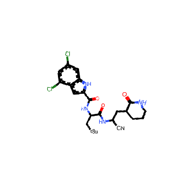 CC(C)(C)CC(NC(=O)c1cc2c(Cl)cc(Cl)cc2[nH]1)C(=O)NC(C#N)CC1CCCNC1=O